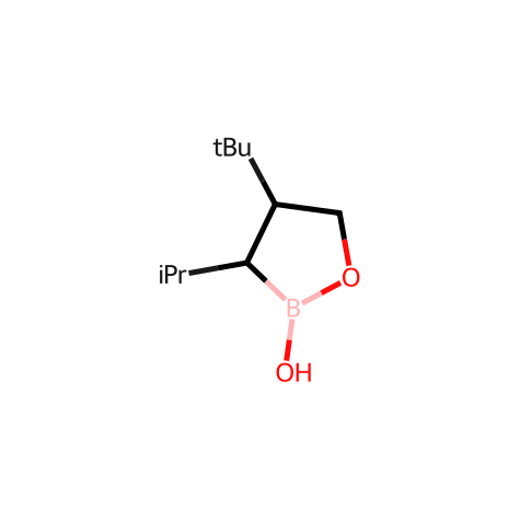 CC(C)C1B(O)OCC1C(C)(C)C